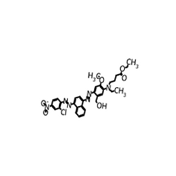 CCOC(=O)CCCN(CC)c1cc(CO)c(N=Nc2ccc(N=Nc3ccc([N+](=O)[O-])cc3Cl)c3ccccc23)cc1OC